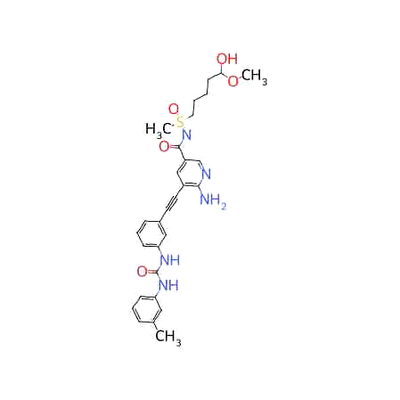 COC(O)CCCCS(C)(=O)=NC(=O)c1cnc(N)c(C#Cc2cccc(NC(=O)Nc3cccc(C)c3)c2)c1